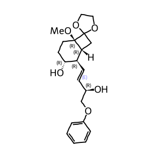 CO[C@]12CC[C@@H](O)[C@H](/C=C/[C@@H](O)COc3ccccc3)[C@H]1CC21OCCO1